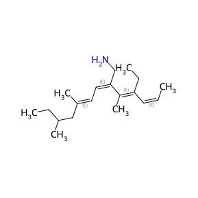 C\C=C/C(CC)=C(C)/C(=C\C=C(/C)CC(C)CC)CN